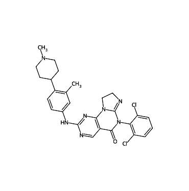 Cc1cc(Nc2ncc3c(n2)N2CCN=C2N(c2c(Cl)cccc2Cl)C3=O)ccc1C1CCN(C)CC1